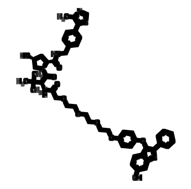 Cc1ncsc1-c1ccc(CNC(=O)[C@@H]2C[C@@H](O)CN2C(=O)[C@@H](NC(=O)COCCOCCOCCOc2ccc(Oc3c(-c4ccccc4)sc4cc(O)ccc34)cc2)C(C)(C)C)cc1